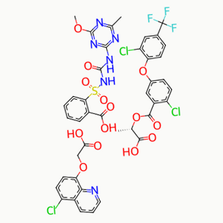 COc1nc(C)nc(NC(=O)NS(=O)(=O)c2ccccc2C(=O)O)n1.C[C@H](OC(=O)c1cc(Oc2ccc(C(F)(F)F)cc2Cl)ccc1Cl)C(=O)O.O=C(O)COc1ccc(Cl)c2cccnc12